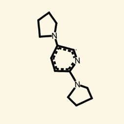 [c]1nc(N2CCCC2)ccc1N1CCCC1